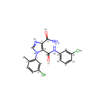 Cc1ccc(Br)cc1-n1cnc(C(N)=O)c1C(=O)Nc1cccc(Cl)c1